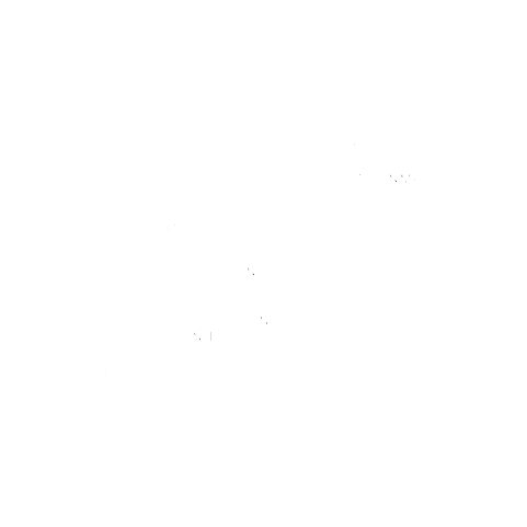 CNC(=O)c1ccc(-c2cnc3c(NCCC(F)(F)F)cc(C(C)C)cn23)cc1C